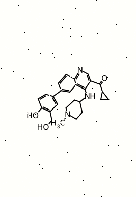 CN1CCC(Nc2c(C(=O)C3CC3)cnc3ccc(-c4ccc(O)c(CO)c4)cc23)CC1